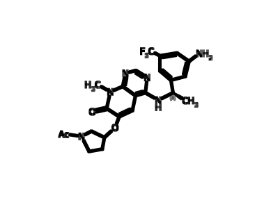 CC(=O)N1CCC(Oc2cc3c(N[C@H](C)c4cc(N)cc(C(F)(F)F)c4)ncnc3n(C)c2=O)C1